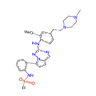 CCS(=O)(=O)Nc1ccccc1-c1ccc2cnc(Nc3ccc(CCN4CCN(C)CC4)cc3OC)nn12